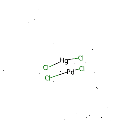 [Cl][Hg][Cl].[Cl][Pd][Cl]